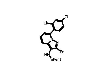 CCCCCNc1c(CC)nn2c(-c3ccc(Cl)cc3Cl)cccc12